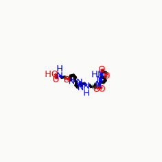 O=C(O)NCCOc1cccc(-c2ccnc(CNCC[C@H]3CN(c4ccc5c(n4)NC(=O)CO5)C(=O)O3)n2)n1